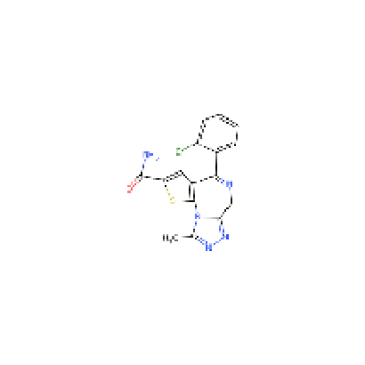 Cc1nnc2n1-c1sc(C(N)=O)cc1C(c1ccccc1Cl)=NC2